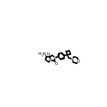 N[C@@H]1CCN2C(=O)N(c3ccc(C4(CN5CCOCC5)CCC4)cc3)C[C@H]12